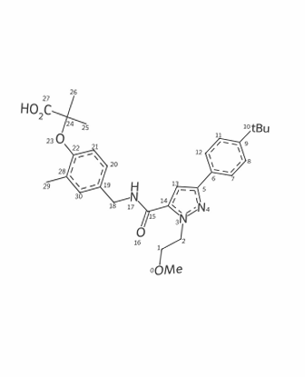 COCCn1nc(-c2ccc(C(C)(C)C)cc2)cc1C(=O)NCc1ccc(OC(C)(C)C(=O)O)c(C)c1